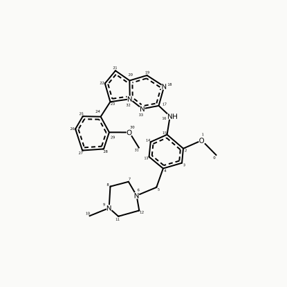 COc1cc(CN2CCN(C)CC2)ccc1Nc1ncc2ccc(-c3ccccc3OC)n2n1